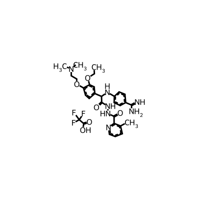 CCOc1cc(C(Nc2ccc(C(=N)N)cc2)C(=O)NNC(=O)c2ncccc2C)ccc1OCCN(C)C.O=C(O)C(F)(F)F